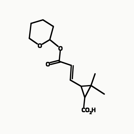 CC1(C)C(C=CC(=O)OC2CCCCO2)C1C(=O)O